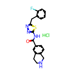 Cl.O=C(Nc1nnc(Cc2ccccc2F)s1)c1ccc2c(c1)CCNC2